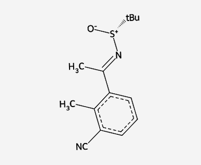 C/C(=N\[S@+]([O-])C(C)(C)C)c1cccc(C#N)c1C